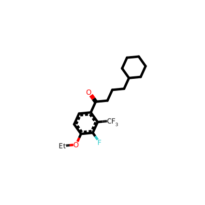 CCOc1ccc(C(=O)CCCC2CCCCC2)c(C(F)(F)F)c1F